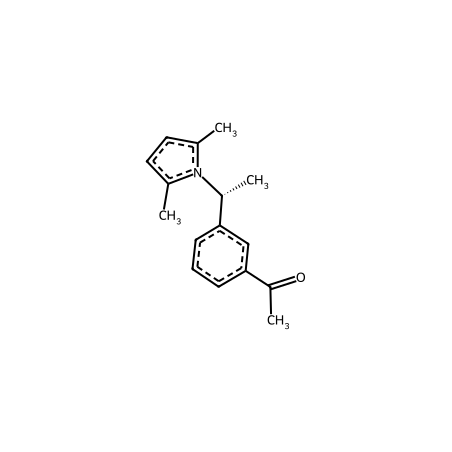 CC(=O)c1cccc([C@@H](C)n2c(C)ccc2C)c1